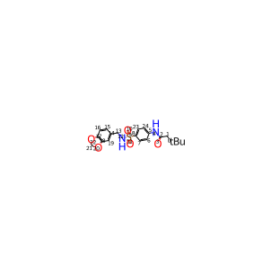 CC(C)(C)CC(=O)Nc1ccc(S(=O)(=O)NCc2ccc3c(c2)OCO3)cc1